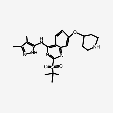 Cc1n[nH]c(Nc2nc(S(=O)(=O)C(C)(C)C)nc3cc(OC4CCNCC4)ccc23)c1C